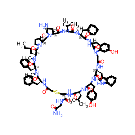 CCCC[C@H]1C(=O)N2CCC[C@@H]2C(=O)N2C[C@H](N)C[C@H]2C(=O)N[C@@H](C(C)C)C(=O)N(C)[C@@H](Cc2ccccc2)C(=O)N[C@H]2Cc3ccc(O)cc3N(CC(=O)N[C@@H](Cc3c[nH]c4ccccc34)C(=O)NC(Cc3ccc(O)cc3)C(=O)N[C@@H](CC(C)C)C(=O)N[C@H](C(=O)NCC(N)=O)CSCC(=O)N[C@@H](Cc3ccccc3)C(=O)N(C)[C@@H](Cc3ccccc3)C(=O)N1C)C2=O